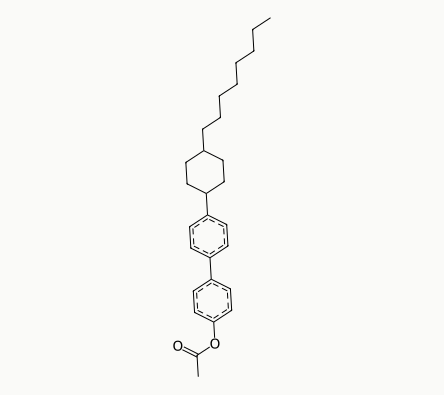 CCCCCCCCC1CCC(c2ccc(-c3ccc(OC(C)=O)cc3)cc2)CC1